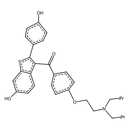 CC(C)CN(CCOc1ccc(C(=O)c2c(-c3ccc(O)cc3)sc3cc(O)ccc23)cc1)CC(C)C